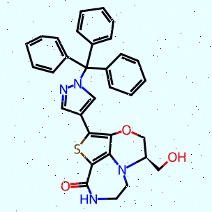 O=C1NCCN2c3c1sc(-c1cnn(C(c4ccccc4)(c4ccccc4)c4ccccc4)c1)c3OC[C@H]2CO